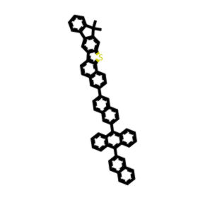 CC1(C)c2ccccc2-c2cc3c(cc21)sc1c2ccc(-c4ccc5cc(-c6c7ccccc7c(-c7ccc8ccccc8c7)c7ccccc67)ccc5c4)cc2ccc31